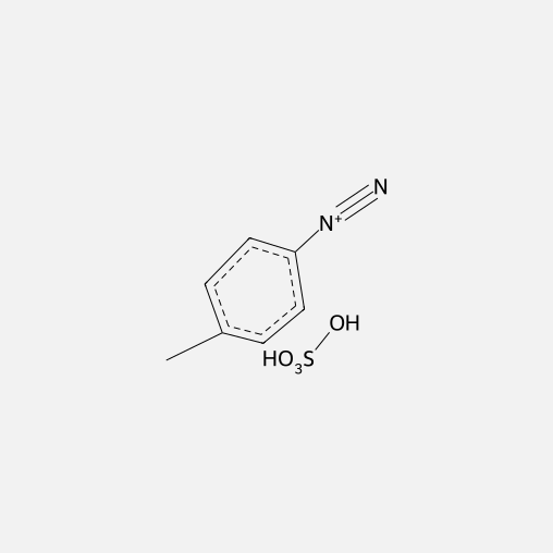 Cc1ccc([N+]#N)cc1.O=S(=O)(O)O